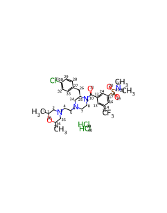 CC1CN(CCN2CCN(C(=O)c3cc(C(F)(F)F)cc(S(=O)(=O)N(C)C)c3)[C@H](Cc3ccc(Cl)cc3)C2)CC(C)O1.Cl.Cl